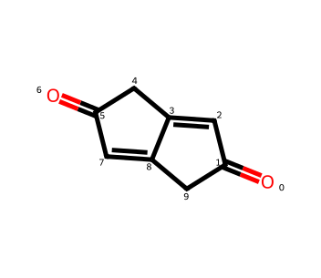 O=C1C=C2CC(=O)C=C2C1